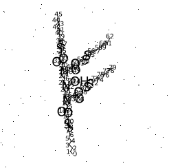 CCCCCCCCSSCCOC(=O)CCN(CCCN(CCO)CCCN(CCC(=O)OCCSSCCCCCCCC)CCC(=O)OCCSSCCCCCCCC)CCC(=O)OCCSSCCCCCCCC